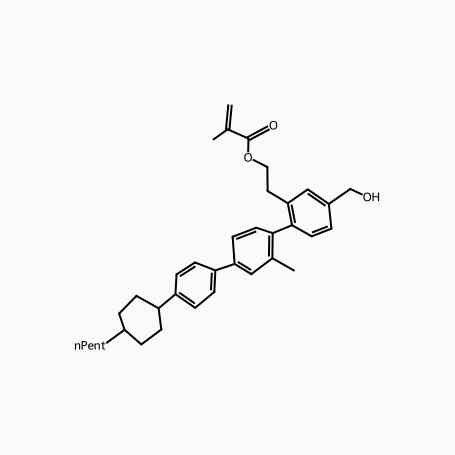 C=C(C)C(=O)OCCc1cc(CO)ccc1-c1ccc(-c2ccc(C3CCC(CCCCC)CC3)cc2)cc1C